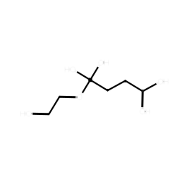 OCCOC(O)(O)CCC(O)O